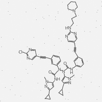 Cn1nc(C2CC2)cc1NC(=O)N(c1cccc(C#Cc2cnc(Cl)nc2)c1)N(C(=O)Nc1cccc(C#Cc2cnc(NCCCN3CCCCC3)nc2)c1)c1cc(C2CC2)nn1C